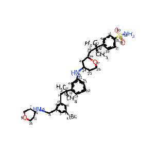 CC(C)(C)c1cc(CNC2CCOCC2)cc(CC(C)(C)c2cccc(NC3CCOC(CC(C)(C)c4ccc(S(N)(=O)=O)cc4)C3)c2)c1